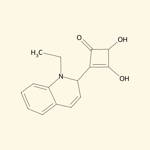 CCN1c2ccccc2C=CC1C1=C(O)C(O)C1=O